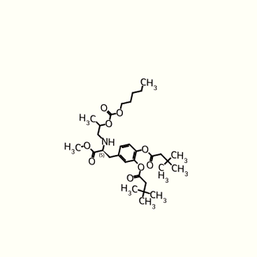 CCCCCOC(=O)OC(C)CN[C@@H](Cc1ccc(OC(=O)CC(C)(C)C)c(OC(=O)CC(C)(C)C)c1)C(=O)OC